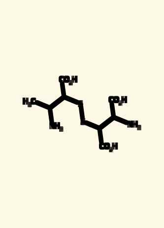 CC(N)C(SSC(C(=O)O)C(N)C(=O)O)C(=O)O